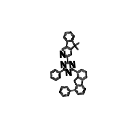 CC1(C)c2ccccc2-c2cnc(-c3nc(-c4ccccc4)nc(-c4cccc5c4Cc4c(-c6ccccc6)cccc4-5)n3)cc21